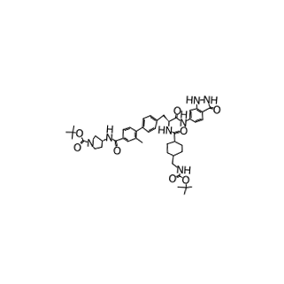 Cc1cc(C(=O)N[C@H]2CCN(C(=O)OC(C)(C)C)C2)ccc1-c1ccc(C[C@H](NC(=O)C2CCC(CNC(=O)OC(C)(C)C)CC2)C(=O)Nc2ccc3c(=O)[nH][nH]c3c2)cc1